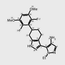 CCn1ncc(N)c1-c1n[nH]c2c1CCC(c1c(F)c(OC)cc(OC)c1F)C2